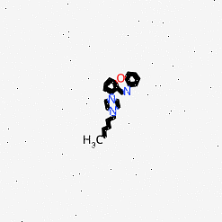 CCCCCCN1CCN(c2cccc3c2C=Nc2ccccc2O3)CC1